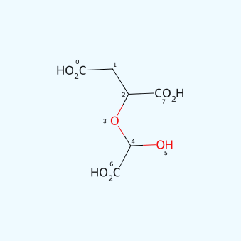 O=C(O)CC(OC(O)C(=O)O)C(=O)O